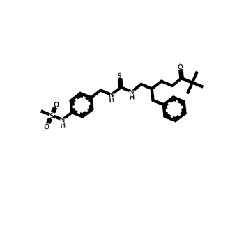 CC(C)(C)C(=O)CCC(CNC(=S)NCc1ccc(NS(C)(=O)=O)cc1)Cc1ccccc1